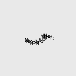 N=C(N)NC(=O)OCc1cccc(-c2cnc(N3CCC(=NOCCn4cccn4)CC3)nc2)c1F